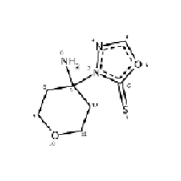 NC1(n2ncoc2=S)CCOCC1